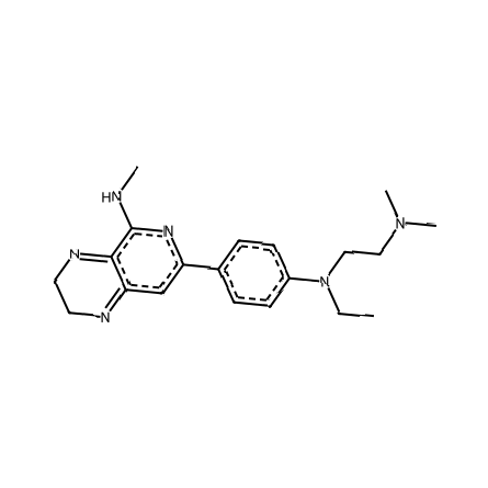 CCN(CCN(C)C)c1ccc(-c2cc3c(c(NC)n2)=NCCN=3)cc1